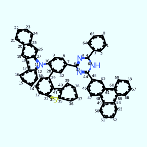 c1ccc(C2N=C(c3ccc(-n4c5ccccc5c5cc6ccccc6cc54)c(-c4cccc5sc6ccccc6c45)c3)N=C(c3ccc4c5ccccc5c5ccccc5c4c3)N2)cc1